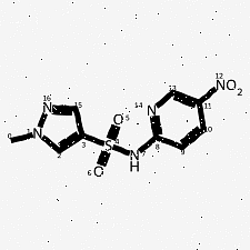 Cn1cc(S(=O)(=O)Nc2ccc([N+](=O)[O-])cn2)cn1